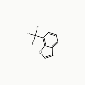 FC(F)(F)c1cccc2[c]coc12